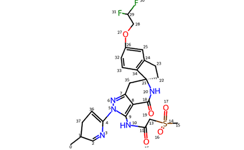 CC1C=NC(n2nc3c(c2NC(=O)CS(C)(=O)=O)C(=O)N[C@@]2(CCc4cc(OCC(F)F)ccc42)C3)=CC1